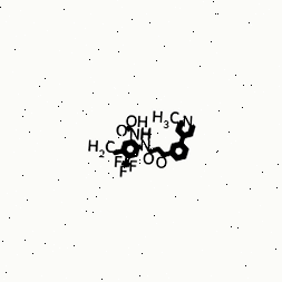 C=Cc1cc(NC(=O)O)c(NC(=O)CC(=O)c2cccc(-c3ccnc(C)c3)c2)cc1C(F)(F)F